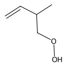 C=CC(C)COO